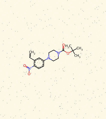 C=Cc1cc(N2CCN(C(=O)OC(C)(C)C)CC2)ccc1[N+](=O)[O-]